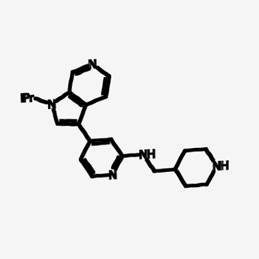 CC(C)n1cc(-c2ccnc(NCC3CCNCC3)c2)c2ccncc21